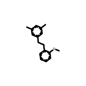 COc1ccccc1CCc1cc(C)cc(C)c1